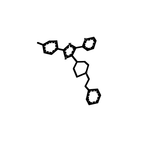 Cc1ccc(-c2nc(-c3ccccn3)c(C3CCN(CCc4ccccc4)CC3)s2)cc1